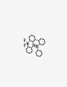 FC(F)(F)c1cccc2c1N(c1ccccc1)B(c1ccccc1)c1ccccc1-2